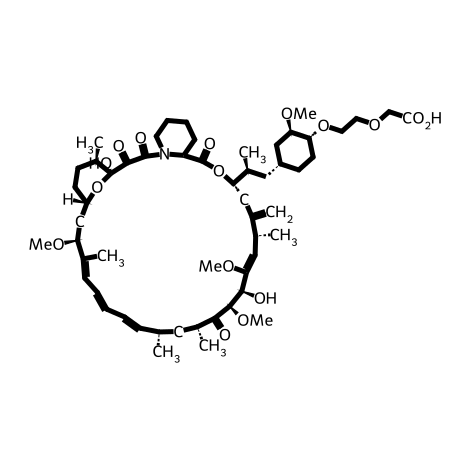 C=C1C[C@@H]([C@@H](C)C[C@H]2CC[C@@H](OCCOCC(=O)O)[C@H](OC)C2)OC(=O)C2CCCCN2C(=O)C(=O)[C@]2(O)O[C@@H](CC[C@H]2C)C[C@H](OC)/C(C)=C/C=C/C=C/[C@@H](C)C[C@@H](C)C(=O)[C@H](OC)[C@H](O)/C(OC)=C/[C@H]1C